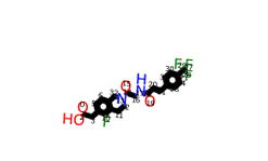 O=C(O)Cc1ccc2c(c1F)CCN(C(=O)CNC(=O)/C=C/c1ccc(C(F)(F)F)cc1)C2